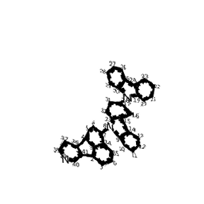 c1cc2c3c(ccc(-n4c5ccccc5c5cc(-n6c7ccccc7c7ccccc76)ccc54)c3c1)-c1ccncc1-2